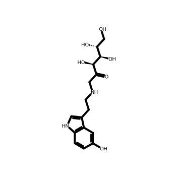 O=C(CNCCc1c[nH]c2ccc(O)cc12)[C@@H](O)[C@H](O)[C@H](O)CO